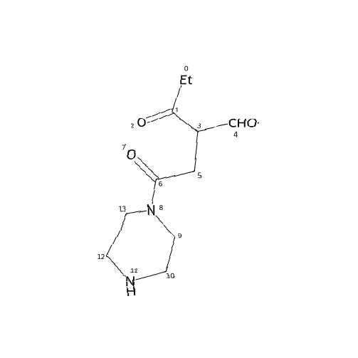 CCC(=O)C([C]=O)CC(=O)N1CCNCC1